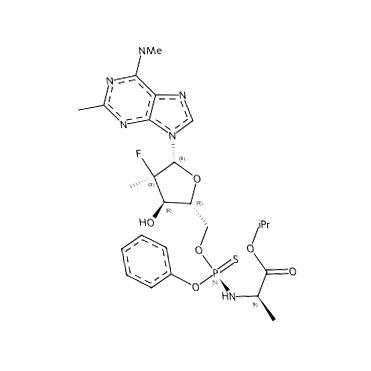 CNc1nc(C)nc2c1ncn2[C@@H]1O[C@H](CO[P@@](=S)(N[C@H](C)C(=O)OC(C)C)Oc2ccccc2)[C@@H](O)[C@@]1(C)F